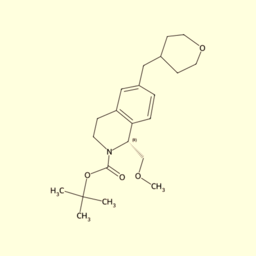 COC[C@H]1c2ccc(CC3CCOCC3)cc2CCN1C(=O)OC(C)(C)C